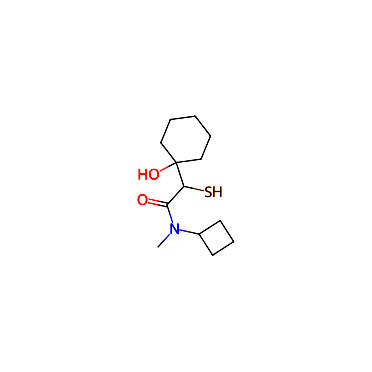 CN(C(=O)C(S)C1(O)CCCCC1)C1CCC1